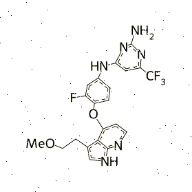 COCCc1c[nH]c2nccc(Oc3ccc(Nc4cc(C(F)(F)F)nc(N)n4)cc3F)c12